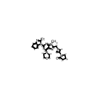 CCc1nc2ccccc2n1-c1nc(N2CCOCC2)c2nc(CN3CC(N4CCCC4=O)C3)n(C)c2n1